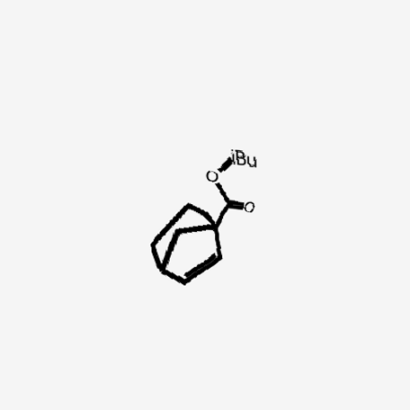 CCC(C)OC(=O)C12C=CC(CC1)C2